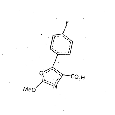 COc1nc(C(=O)O)c(-c2ccc(F)cc2)o1